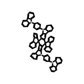 c1ccc2c(c1)-c1ccccc1C21c2cc3c4ccccc4n(-c4ccc(-n5c6ccccc6c6ccccc65)cc4)c3cc2C2(c3ccccc3-c3ccccc32)c2cc3c4ccccc4n(-c4ccc(-n5c6ccccc6c6ccccc65)cc4)c3cc21